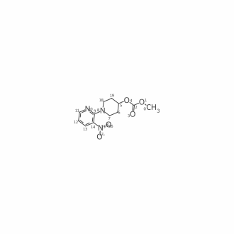 COC(=O)OC1CCN(c2ncccc2[N+](=O)[O-])CC1